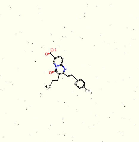 CCCc1c(C=Cc2ccc(C)cc2)nc2ccc(C(=O)O)cn2c1=O